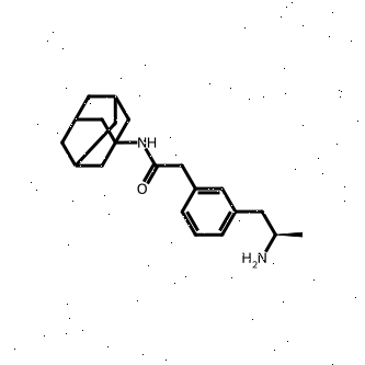 C[C@@H](N)Cc1cccc(CC(=O)NC23CC4CC(CC(C4)C2)C3)c1